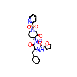 O=C(N[C@H]1CCCN(S(=O)(=O)c2ccccn2)CC1=O)C(CC1CCCCC1)NC(=O)[C@H]1CCCO1